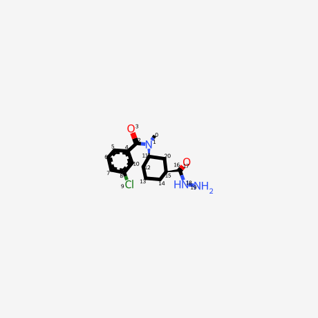 CN(C(=O)c1cccc(Cl)c1)[C@@H]1CCC[C@H](C(=O)NN)C1